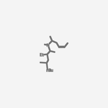 C/C=C\CC(C)N(C)C(C)C(CC)CC(C)CCCC